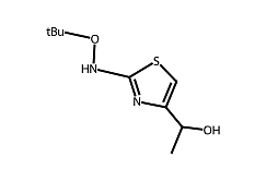 CC(O)c1csc(NOC(C)(C)C)n1